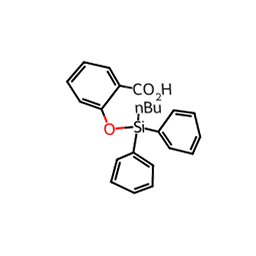 CCCC[Si](Oc1ccccc1C(=O)O)(c1ccccc1)c1ccccc1